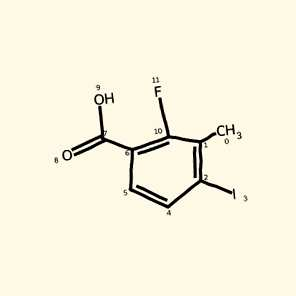 Cc1c(I)ccc(C(=O)O)c1F